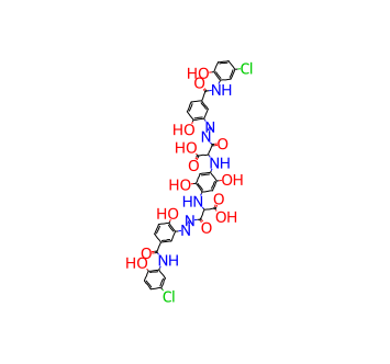 O=C(Nc1cc(Cl)ccc1O)c1ccc(O)c(/N=N/C(=O)C(Nc2cc(O)c(NC(C(=O)O)C(=O)/N=N/c3cc(C(=O)Nc4cc(Cl)ccc4O)ccc3O)cc2O)C(=O)O)c1